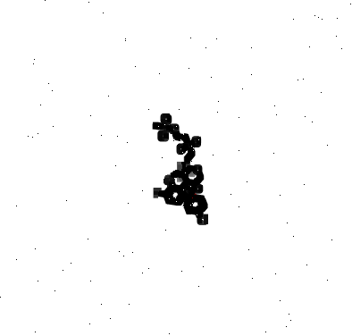 CS(=O)(=O)OCCS(=O)(=O)CC[C@@H]1OCC[C@@]2(S(=O)(=O)c3ccc(Cl)cc3)c3c(F)ccc(F)c3OC[C@@H]12